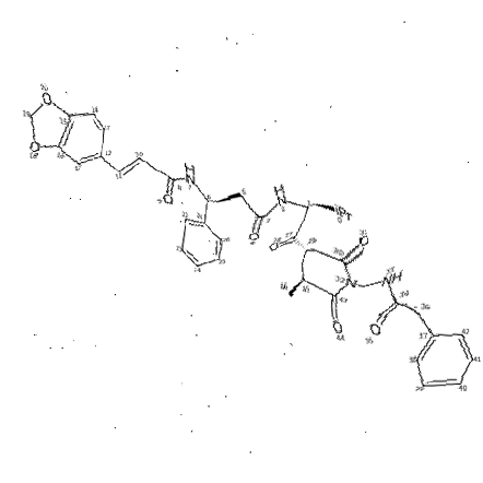 CC(C)[C@H](NC(=O)C[C@H](NC(=O)/C=C/c1ccc2c(c1)OCO2)c1ccccc1)C(=O)[C@@H]1C(=O)N(NC(=O)Cc2ccccc2)C(=O)[C@H]1C